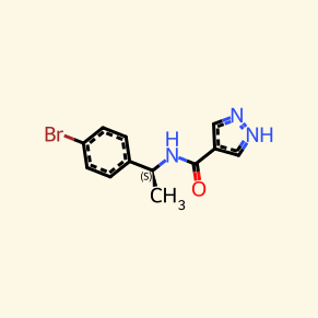 C[C@H](NC(=O)c1cn[nH]c1)c1ccc(Br)cc1